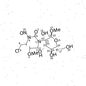 COCCN(C(=O)N(CCCl)N=O)[C@@]1(O)[C@@H](OC)O[C@H](CO)[C@@H](O)[C@@H]1O